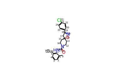 Cc1cccc(C(C)(C)C)c1NC(=O)N1CCC2(CC1)CC(c1ccc(Cl)cc1)=NO2